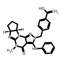 C=C(O)c1ccc(Cn2nc3c(c2Nc2ccccc2)C(=O)N(C)C2=N[C@@H]4CCC[C@@H]4N23)cc1